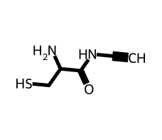 C#CNC(=O)C(N)CS